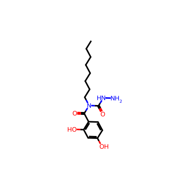 CCCCCCCCN(C(=O)NN)C(=O)c1ccc(O)cc1O